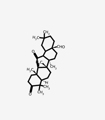 CC1(C)CC[C@]2(C=O)CC[C@]3(C)C(C(=O)C=C4[C@@]5(C)CCC(=O)C(C)(C)[C@@H]5CC[C@]43C)C2C1